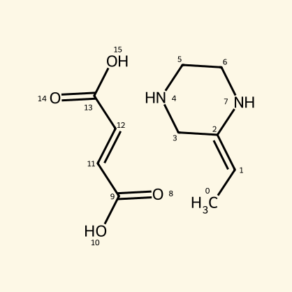 CC=C1CNCCN1.O=C(O)/C=C/C(=O)O